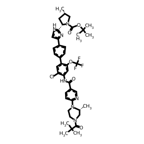 C[C@H]1C[C@@H](c2nc(-c3ccc(-c4cc(Cl)c(NC(=O)c5ccc(N6CCN(C(=O)C(C)(C)C)C[C@H]6C)nc5)cc4OC(F)(F)F)cc3)c[nH]2)N(C(=O)OC(C)(C)C)C1